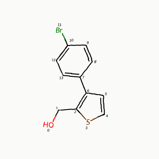 OCc1sccc1-c1ccc(Br)cc1